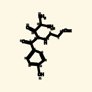 CCCCCCCCCCCCNN(C(=O)c1ccc(O)cc1)C(=O)C(N)N